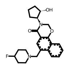 O=C1c2cc(CN3CCC(F)CC3)c3ccccc3c2OCN1[C@H]1CCC[C@@H]1O